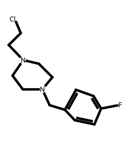 Fc1ccc(CN2CCN(CCCl)CC2)cc1